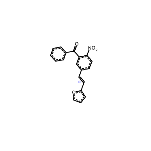 O=C(c1ccccc1)c1cc(/C=C/c2ccco2)ccc1[N+](=O)[O-]